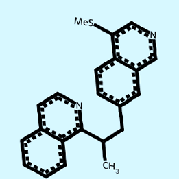 CSc1cncc2cc(CC(C)c3nccc4ccccc34)ccc12